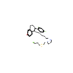 O=S(=O)(CCCC(F)(F)F)CC[C@@H]1CCCN1CCCCCCC1=C(c2ccc(F)cc2F)CCCc2cc(O)ccc21